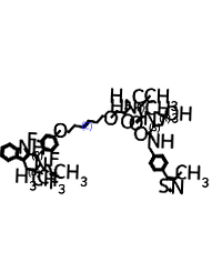 Cc1ncsc1-c1ccc(CNC(=O)[C@@H]2C[C@@H](O)CN2C(=O)[C@@H](NC(=O)COCC/C=C/CCOc2cc(F)c([C@@H]3c4[nH]c5ccccc5c4C[C@@H](C)N3CC(C)(C)F)c(F)c2)C(C)(C)C)cc1